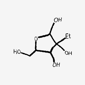 CCC1(O)C(O)OC(CO)C1O